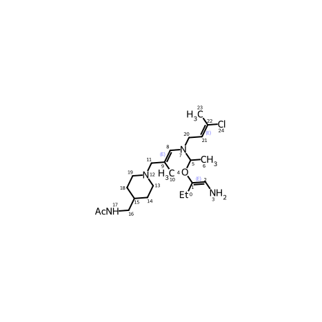 CC/C(=C\N)OC(C)N(/C=C(\C)CN1CCC(CNC(C)=O)CC1)C/C=C(\C)Cl